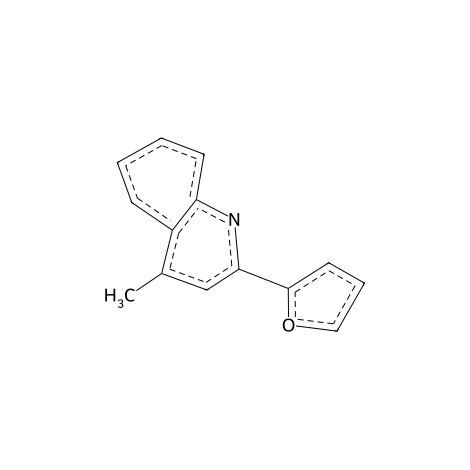 Cc1cc(-c2ccco2)nc2ccccc12